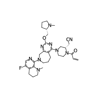 C=CC(=O)N1CCN(c2nc(OC[C@@H]3CCCN3C)nc3c2CCCN(c2ncc(F)c4c2N(C)CCC4)C3)C[C@@H]1CC#N